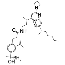 BC(C)(O)c1ccc(CCC(=O)NCCC(C)c2cc(N3CCC3)nc3cc(C(C)CCCCC)nn23)c(C(=C)C)c1